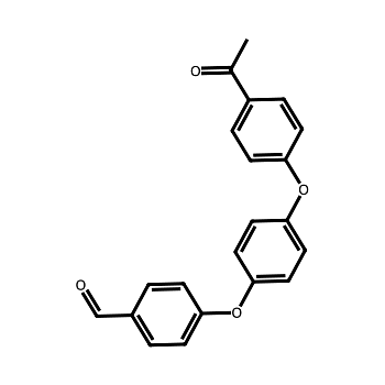 CC(=O)c1ccc(Oc2ccc(Oc3ccc(C=O)cc3)cc2)cc1